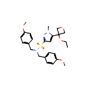 CCOC1(c2cc(S(=O)(=O)N(Cc3ccc(OC)cc3)Cc3ccc(OC)cc3)nn2C)COC1